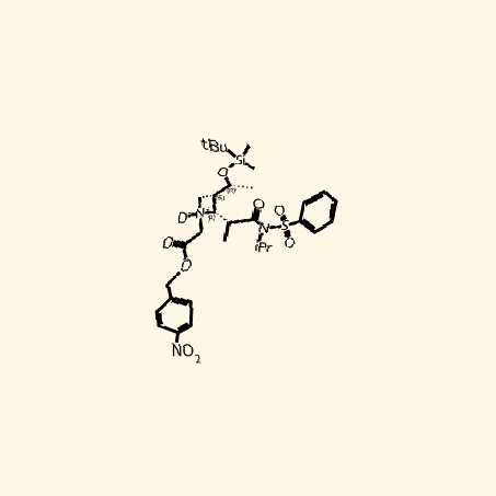 CC(C(=O)N(C(C)C)S(=O)(=O)c1ccccc1)[C@H]1[C@@H]([C@@H](C)O[Si](C)(C)C(C)(C)C)C[N+]1([O-])CC(=O)OCc1ccc([N+](=O)[O-])cc1